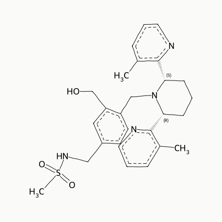 Cc1cccnc1[C@H]1CCC[C@@H](c2ncccc2C)N1Cc1ccc(CNS(C)(=O)=O)cc1CO